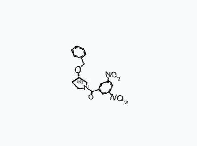 O=C(c1cc([N+](=O)[O-])cc([N+](=O)[O-])c1)N1CC[C@@H](OCc2ccccc2)C1